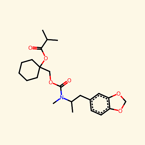 CC(C)C(=O)OC1(COC(=O)N(C)C(C)Cc2ccc3c(c2)OCO3)CCCCC1